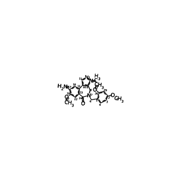 COc1ccc(CN2Cc3c(cnn3C)-c3cc(N)c(OC)cc3C2=O)c(OC)c1